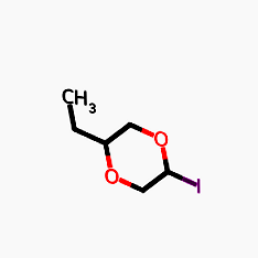 CCC1COC(I)CO1